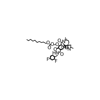 CCCCCCCCCCOC(=O)OCOc1c2n(cc(C(=O)NCc3ccc(F)cc3F)c1=O)[C@@H]1CN(C2=O)[C@@H](C)CC[C@]12CC(C)=NO2